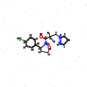 CC(C)(Cn1cccn1)C(=O)N1OCC[C@H]1c1ccc(F)cc1